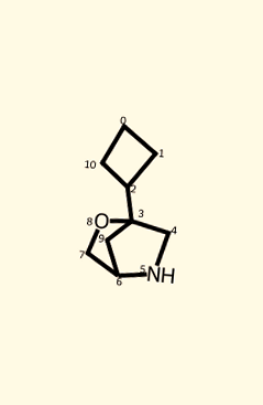 C1CC(C23CNC(CO2)C3)C1